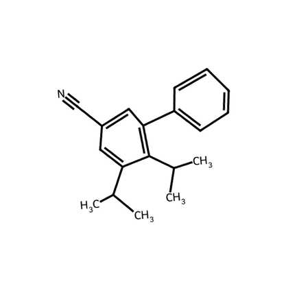 CC(C)c1cc(C#N)cc(-c2ccccc2)c1C(C)C